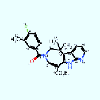 CCOC(=O)C1=CN(C(=O)c2ccc(F)c(C)c2)CC(C)(C)c2c1[nH]c1ncccc21